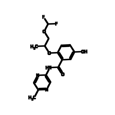 Cc1cnc(NC(=O)c2cc(O)ccc2OC(C)COC(F)F)cn1